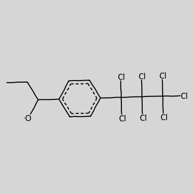 CCC([O])c1ccc(C(Cl)(Cl)C(Cl)(Cl)C(Cl)(Cl)Cl)cc1